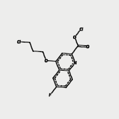 O=C(OCl)c1cc(OCCCCl)c2cc(F)ccc2n1